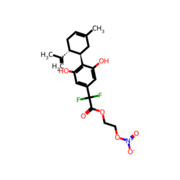 C=C(C)[C@@H]1CC=C(C)C[C@H]1c1c(O)cc(C(F)(F)C(=O)OCCO[N+](=O)[O-])cc1O